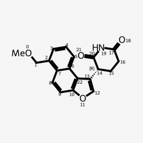 COCc1cccc2c1ccc1occ([C@H]3CCC(=O)NC3=O)c12